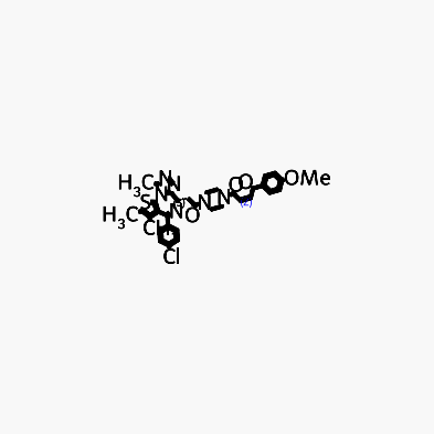 COc1ccc(C(=O)/C=C\C(=O)N2CCN(C(=O)C[C@@H]3N=C(c4ccc(Cl)cc4)c4c(sc(C)c4C)-n4c(C)nnc43)CC2)cc1